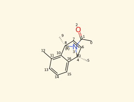 CC(=O)N1[C@@]2(C)C=C[C@]1(C)c1c(C)cccc12